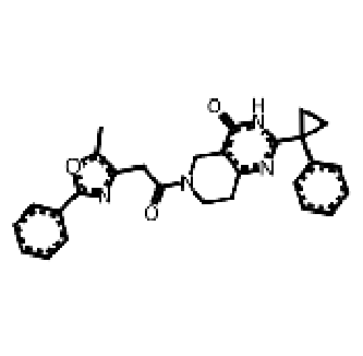 Cc1oc(-c2ccccc2)nc1CC(=O)N1CCc2nc(C3(c4ccccc4)CC3)[nH]c(=O)c2C1